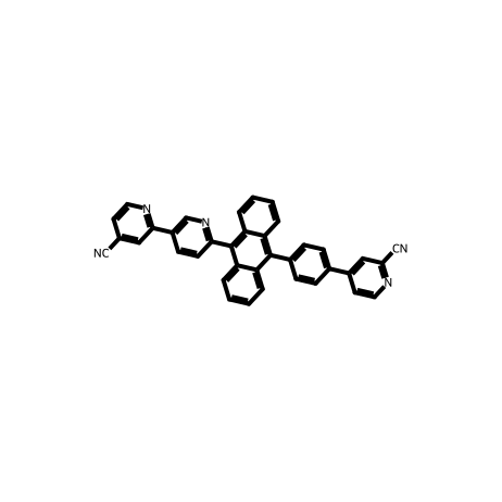 N#Cc1ccnc(-c2ccc(-c3c4ccccc4c(-c4ccc(-c5ccnc(C#N)c5)cc4)c4ccccc34)nc2)c1